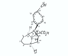 O=C(O)N[C@H]1[C@@H]2CCC[C@H]1[C@@H](c1ccc(O)cc1)CC2